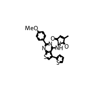 COc1ccc(-c2nc(NN3C(=O)C=C(C)C3=O)c3c(-c4cccs4)csc3n2)cc1